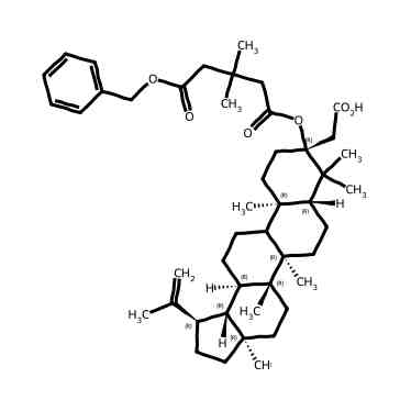 [CH][C@]12CC[C@@H](C(=C)C)[C@@H]1[C@H]1CCC3[C@@]4(C)CC[C@](CC(=O)O)(OC(=O)CC(C)(C)CC(=O)OCc5ccccc5)C(C)(C)[C@@H]4CC[C@@]3(C)[C@]1(C)CC2